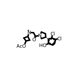 CC(=O)OC1CC(N(C)CC(=O)N2CC[C@H](c3c(O)ccc(Cl)c3Cl)C2)C1